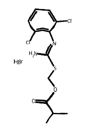 Br.CC(C)C(=O)OCS/C(N)=N/c1c(Cl)cccc1Cl